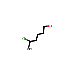 CCCC(Cl)CCCC[O]